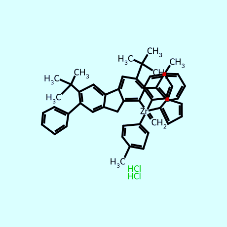 Cl.Cl.[CH2]=[Zr]([C]1=CC=CC1)([c]1ccc(C)cc1)([c]1ccc(C)cc1)[c]1c2c(cc(C(C)(C)C)c1-c1ccccc1)-c1cc(C(C)(C)C)c(-c3ccccc3)cc1C2